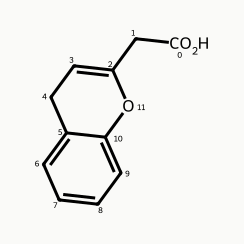 O=C(O)CC1=CCc2ccccc2O1